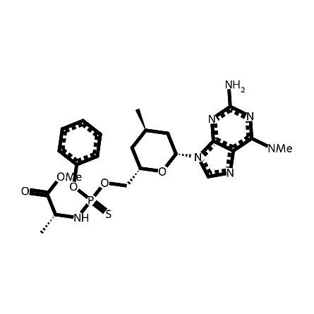 CNc1nc(N)nc2c1ncn2[C@H]1C[C@H](C)C[C@@H](COP(=S)(N[C@H](C)C(=O)OC)Oc2ccccc2)O1